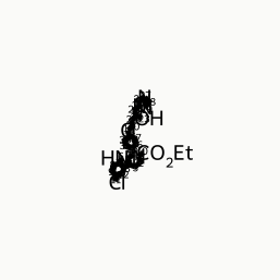 CCOC(=O)N1CCc2c([nH]c3ccc(Cl)cc23)[C@@H]1c1ccc(OCCC(O)Cn2cncn2)cc1